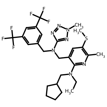 CCN(CC1CCCC1)c1nc(C)c(SC)cc1CN(Cc1cc(C(F)(F)F)cc(C(F)(F)F)c1)c1nnn(C)n1